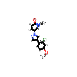 CCCn1cc(-n2cc(-c3ccc(OC(F)(F)F)cc3Cl)cn2)ccc1=O